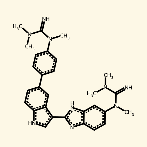 CN(C)C(=N)N(C)c1ccc(-c2ccc3[nH]cc(-c4nc5ccc(N(C)C(=N)N(C)C)cc5[nH]4)c3c2)cc1